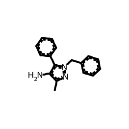 Cc1nn(Cc2ccccc2)c(-c2ccccc2)c1N